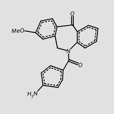 COc1ccc2c(c1)CN(C(=O)c1ccc(N)cc1)c1ccccc1C2=O